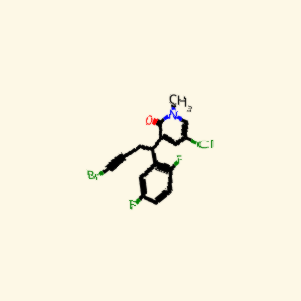 Cn1cc(Cl)cc(C(CC#CBr)c2cc(F)ccc2F)c1=O